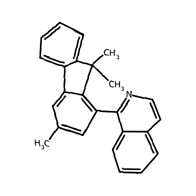 Cc1cc2c(c(-c3nccc4ccccc34)c1)C(C)(C)c1ccccc1-2